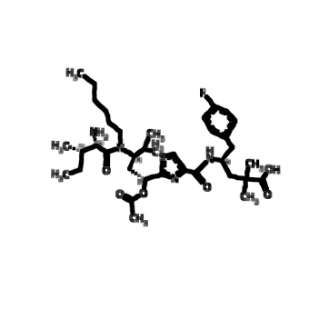 CCCCCCN(C(=O)[C@@H](N)[C@@H](C)CC)[C@H](C[C@@H](OC(C)=O)c1nc(C(=O)N[C@@H](Cc2ccc(F)cc2)CC(C)(C)C(=O)O)cs1)C(C)C